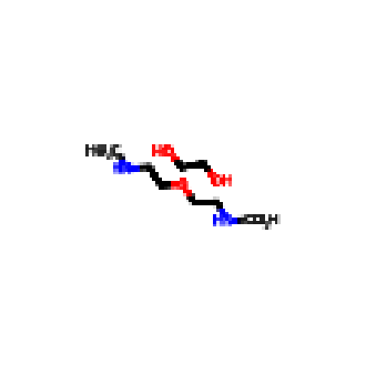 O=C(O)NCCOCCNC(=O)O.OCCO